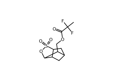 CC(F)(F)C(=O)OCC1C2CC3C1OS(=O)(=O)C3C2